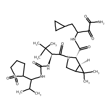 CC(C)C(NC(=O)N[C@H](C(=O)N1CC2[C@@H]([C@H]1C(=O)NC(CC1CC1)C(=O)C(N)=O)C2(C)C)C(C)(C)C)C1CCCS1(=O)=O